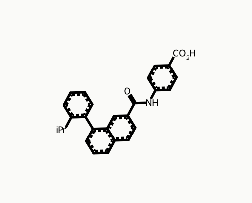 CC(C)c1ccccc1-c1cccc2ccc(C(=O)Nc3ccc(C(=O)O)cc3)cc12